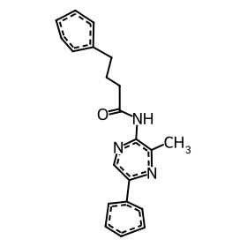 Cc1nc(-c2ccccc2)cnc1NC(=O)CCCc1ccccc1